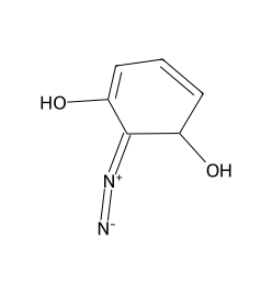 [N-]=[N+]=C1C(O)=CC=CC1O